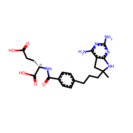 CC1(CCCc2ccc(C(=O)N[C@@H](CCC(=O)O)C(=O)O)cc2)Cc2c(N)nc(N)nc2N1